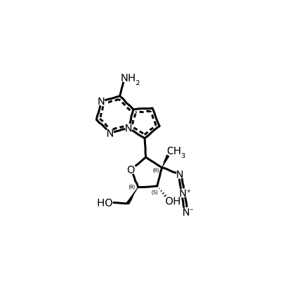 C[C@]1(N=[N+]=[N-])C(c2ccc3c(N)ncnn23)O[C@H](CO)[C@H]1O